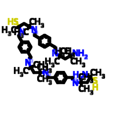 CC(C)(N)CC(C)(C)/N=C/c1ccc(/C=N/C(C)(C)CC(C)(S)/N=C/c2ccc(/C=N/C(C)(C)CC(C)(C)/N=C/c3ccc(/C=N/C(C)(C)CC(C)(N)S)cc3)cc2)cc1